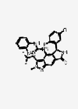 Cn1nc2cc3c(c(NC(=O)Nc4ccccc4N)c2c1CC(F)F)C(c1cc(Cl)ccc1F)NC3=O